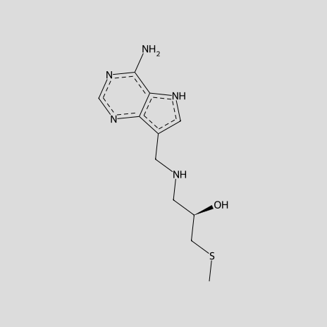 CSC[C@H](O)CNCc1c[nH]c2c(N)ncnc12